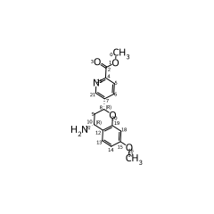 COC(=O)c1ccc([C@H]2C[C@@H](N)c3ccc(OC)cc3O2)cn1